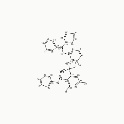 CCCC(C)(Pc1c(C)cccc1CN(c1ccccc1)c1ccccc1)c1cc(C)cc(C)c1OCc1ccccc1